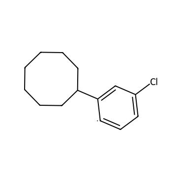 Clc1cc[c]c(C2CCCCCCC2)c1